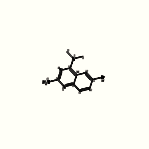 CN(C)c1nc(N)nc2ccc(Br)cc12